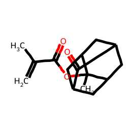 C=C(C)C(=O)OC1(C)C2CC3CC1CC(C2)C3=O